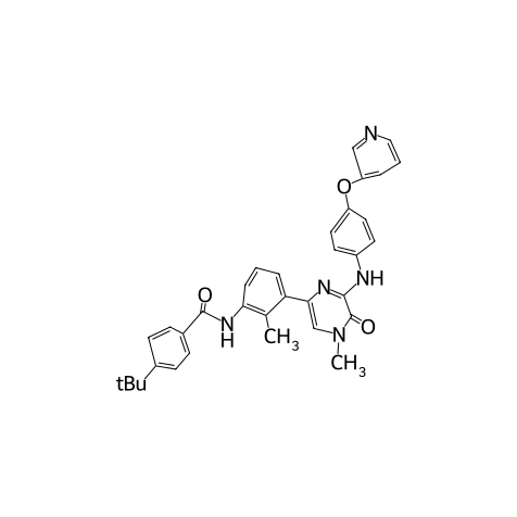 Cc1c(NC(=O)c2ccc(C(C)(C)C)cc2)cccc1-c1cn(C)c(=O)c(Nc2ccc(Oc3cccnc3)cc2)n1